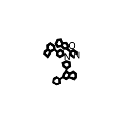 C1=CC(c2cc(-c3ccc(N(c4ccc(-c5cccc6ccccc56)cc4)c4cncc5oc6cc7ccccc7cc6c45)cc3)c3ccccc3c2)=CCC1